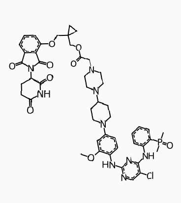 COc1cc(N2CCC(N3CCN(CC(=O)OCC4(COc5cccc6c5C(=O)N(C5CCC(=O)NC5=O)C6=O)CC4)CC3)CC2)ccc1Nc1ncc(Cl)c(Nc2ccccc2P(C)(C)=O)n1